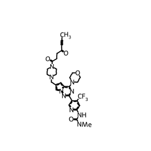 CC#CC(=O)CCC(=O)N1CCN(Cc2cc3c(N4CCOCC4)nc(-c4cnc(NC(=O)NC)cc4C(F)(F)F)nn3c2)CC1